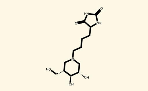 O=C1NC(=O)C(CCCCN2C[C@@H](CO)[C@H](O)[C@@H](O)C2)N1